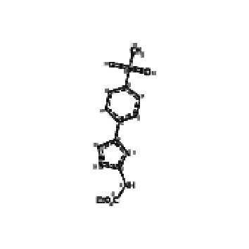 CCOC(=O)Nc1nc(-c2ccc(S(C)(=O)=O)cc2)cs1